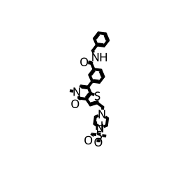 Cn1cc(-c2cccc(C(=O)NCc3ccccc3)c2)c2sc(CN3CCN([SH](C)(=O)C=O)CC3)cc2c1=O